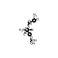 [C-]#[N+]c1c(N)nc(SCc2coc(-c3ccc(Cl)c(C)c3)n2)c(C#N)c1-c1ccc(OC[C@H](O)CO)cc1